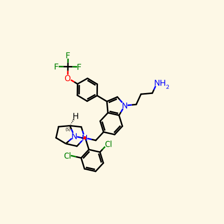 NCCCn1cc(-c2ccc(OC(F)(F)F)cc2)c2cc(CN3CC4CC[C@@H](C3)N4Cc3c(Cl)cccc3Cl)ccc21